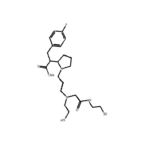 COC(=O)C(Cc1ccc(F)cc1)C1CCCN1CCCN(CCS)CC(=O)NCCS